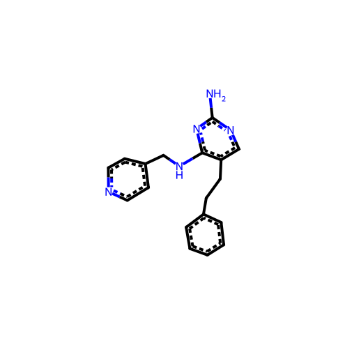 Nc1ncc(CCc2ccccc2)c(NCc2ccncc2)n1